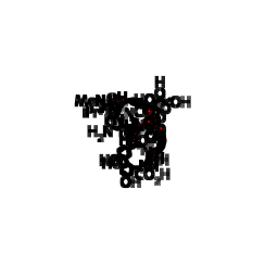 CN[C@H](CC(C)C)C(=O)N[C@H]1C(=O)NC(CC(N)=O)C(=O)N[C@H]2C(=O)N[C@H]3C(=O)N[C@H](C(=O)N[C@@H](C(=O)O)c4cc(O)cc(O)c4-c4cc3ccc4O)[C@H](O)c3ccc(c(Cl)c3)Oc3cc2cc(c3O[C@@H]2O[C@H](CO)[C@@H](O)[C@H](O)[C@H]2O[C@H]2C[C@](C)(NCCN)[C@H](O)[C@H](C)O2)Oc2ccc(cc2Cl)[C@H]1O